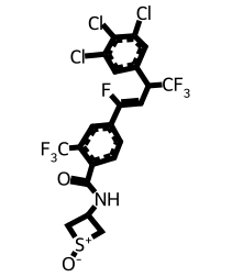 O=C(NC1C[S+]([O-])C1)c1ccc(/C(F)=C/C(c2cc(Cl)c(Cl)c(Cl)c2)C(F)(F)F)cc1C(F)(F)F